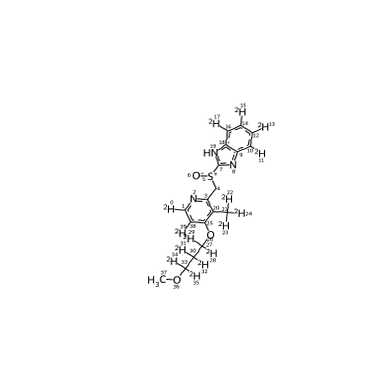 [2H]c1nc(C[S+]([O-])c2nc3c([2H])c([2H])c([2H])c([2H])c3[nH]2)c(C([2H])([2H])[2H])c(OC([2H])([2H])C([2H])([2H])C([2H])([2H])OC)c1[2H]